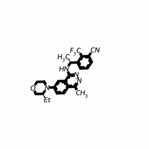 CC[C@@H]1COCCN1c1ccc2c(C)nnc(N[C@H](C)c3cccc(C#N)c3C(F)(F)F)c2c1